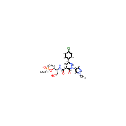 COP(=O)(OC)OCC(CO)NC(=O)c1cc(-c2ccc(Cl)cc2)nn(-c2cnn(C)c2)c1=O